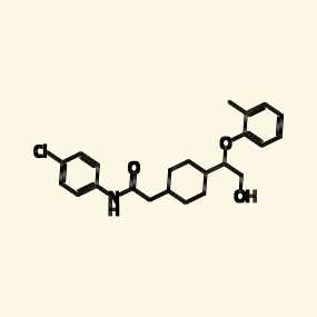 Cc1ccccc1OC(CO)C1CCC(CC(=O)Nc2ccc(Cl)cc2)CC1